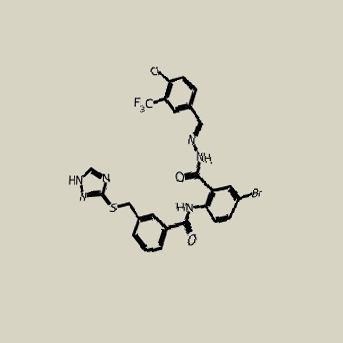 O=C(Nc1ccc(Br)cc1C(=O)NN=Cc1ccc(Cl)c(C(F)(F)F)c1)c1cccc(CSc2nc[nH]n2)c1